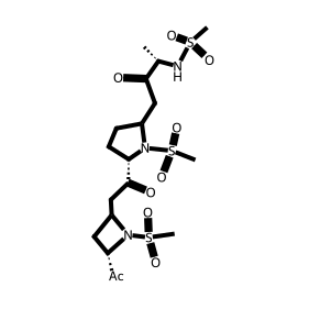 CC(=O)[C@@H]1CC(CC(=O)[C@@H]2CCC(CC(=O)[C@H](C)NS(C)(=O)=O)N2S(C)(=O)=O)N1S(C)(=O)=O